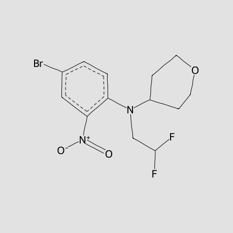 O=[N+]([O-])c1cc(Br)ccc1N(CC(F)F)C1CCOCC1